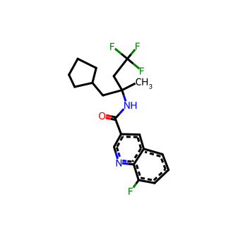 CC(CC1CCCC1)(CC(F)(F)F)NC(=O)c1cnc2c(F)cccc2c1